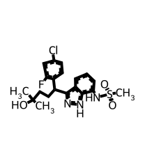 CC(C)(O)CCC(c1ccc(Cl)cc1F)c1n[nH]c2c(NS(C)(=O)=O)cccc12